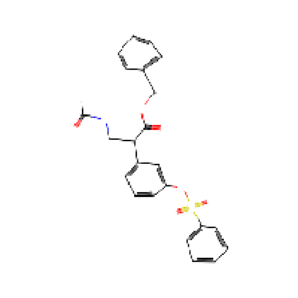 CC(=O)NCC(C(=O)OCc1ccccc1)c1cccc(OS(=O)(=O)c2ccccc2)c1